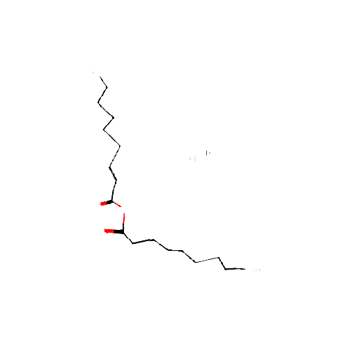 CCCCCCCCCCCCCCCCCC(=O)OC(=O)CCCCCCCCCCCCCCCCC.[AlH3].[KH]